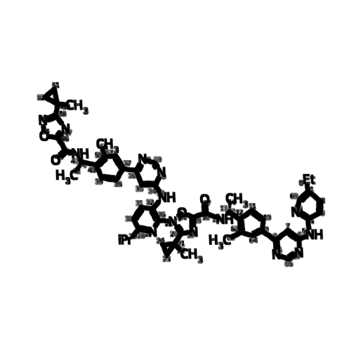 CCc1ccc(Nc2cc(-c3ccc([C@@H](C)NC(=O)c4nc(C5(C)CC5)[n+](-c5nc(C(C)C)ccc5Nc5cc(-c6ccc([C@@H](C)NC(=O)c7nc(C8(C)CC8)no7)c(C)c6)ncn5)o4)c(C)c3)ncn2)nc1